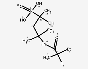 CCC(C)(I)C(=O)NC(C)(C)CC(C)(O)P(=O)(O)O